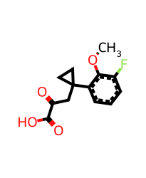 COc1c(F)cccc1C1(CC(=O)C(=O)O)CC1